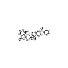 O=C(c1ccccc1)c1ccc(NC(=O)[C@]2(O)CC[C@]3(CC2)OC(=O)c2ccc[n+]([O-])c23)cc1